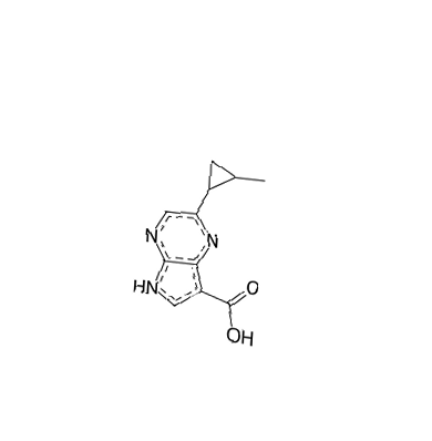 CC1CC1c1cnc2[nH]cc(C(=O)O)c2n1